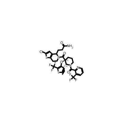 CCC[C@H]1N(C(=O)c2ncccc2C(F)(F)F)CCC[C@@]1(Oc1ccsc1C(F)(F)F)C(=O)N1CCc2sc(Cl)cc2C1CCC(N)=O